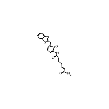 NC(=O)/C=C/CCCC(=O)Nc1cccn(Cc2nc3ccccc3s2)c1=O